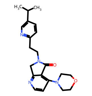 CC(C)c1ccc(CCN2Cc3nccc(N4CCOCC4)c3C2=O)nc1